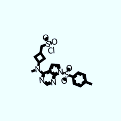 Cc1ccc(S(=O)(=O)n2ccc3c(N(C)C4CC(CS(=O)(=O)Cl)C4)ncnc32)cc1